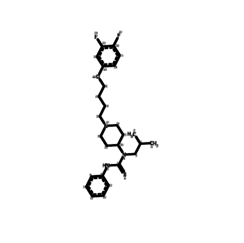 CC(C)CN(C(=S)Nc1ccccc1)C1CCN(CCCCOc2ccc(F)c(F)c2)CC1